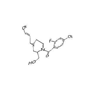 N#CC=CCN1CCN(C(=O)c2ccc(C#N)cc2F)C(CO)C1